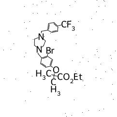 CCOC(=O)C(C)(C)Oc1ccc(CN2CCN(Cc3ccc(C(F)(F)F)cc3)CC2)c(Br)c1